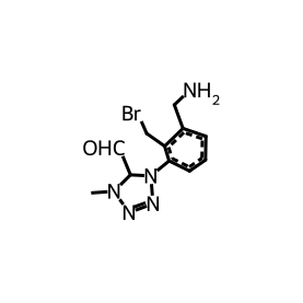 CN1N=NN(c2cccc(CN)c2CBr)C1C=O